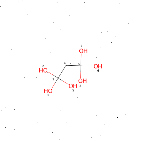 OC(O)(O)CC(O)(O)O